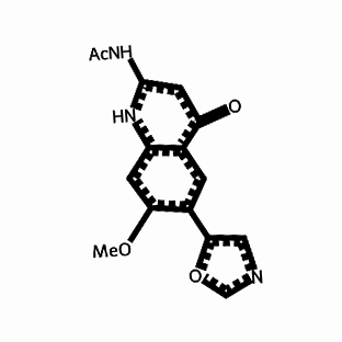 COc1cc2[nH]c(NC(C)=O)cc(=O)c2cc1-c1cnco1